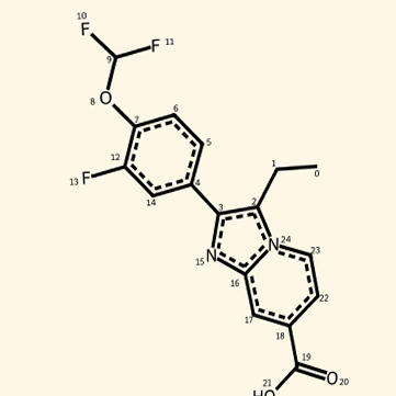 CCc1c(-c2ccc(OC(F)F)c(F)c2)nc2cc(C(=O)O)ccn12